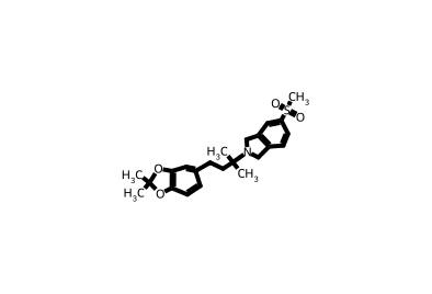 CC1(C)Oc2ccc(CCC(C)(C)N3Cc4ccc(S(C)(=O)=O)cc4C3)cc2O1